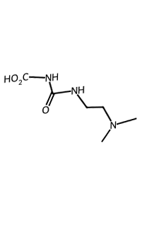 CN(C)CCNC(=O)NC(=O)O